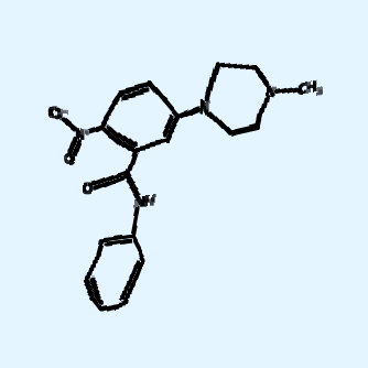 CN1CCN(c2ccc([N+](=O)[O-])c(C(=O)Nc3ccccc3)c2)CC1